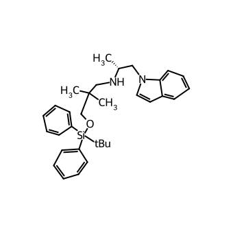 C[C@H](Cn1ccc2ccccc21)NCC(C)(C)CO[Si](c1ccccc1)(c1ccccc1)C(C)(C)C